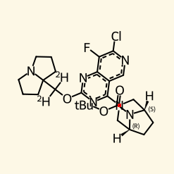 [2H]C([2H])(Oc1nc(N2C[C@H]3CC[C@@H](C2)N3C(=O)OC(C)(C)C)c2cnc(Cl)c(F)c2n1)C12CCCN1CCC2